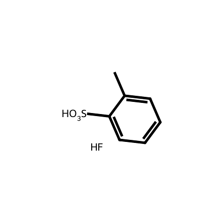 Cc1ccccc1S(=O)(=O)O.F